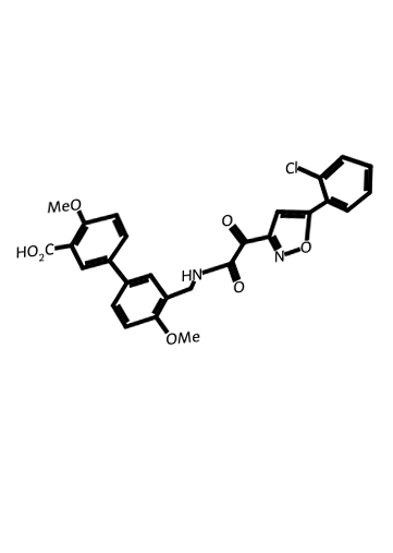 COc1ccc(-c2ccc(OC)c(C(=O)O)c2)cc1CNC(=O)C(=O)c1cc(-c2ccccc2Cl)on1